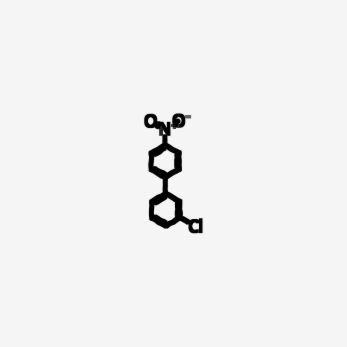 O=[N+]([O-])c1ccc(-c2cccc(Cl)c2)cc1